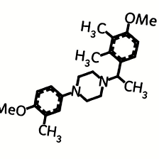 COc1ccc(N2CCN(C(C)c3ccc(OC)c(C)c3C)CC2)cc1C